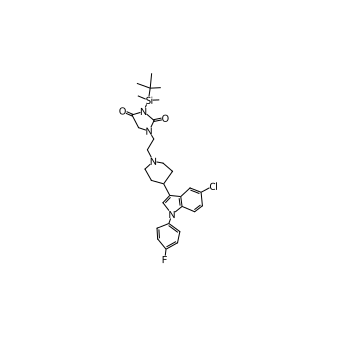 CC(C)(C)[Si](C)(C)N1C(=O)CN(CCN2CCC(c3cn(-c4ccc(F)cc4)c4ccc(Cl)cc34)CC2)C1=O